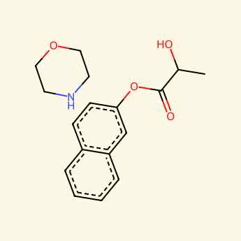 C1COCCN1.CC(O)C(=O)Oc1ccc2ccccc2c1